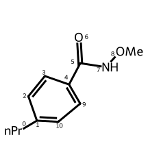 CCCc1ccc(C(=O)NOC)cc1